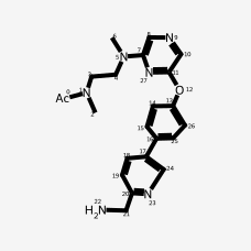 CC(=O)N(C)CCN(C)c1cncc(Oc2ccc(-c3ccc(CN)nc3)cc2)n1